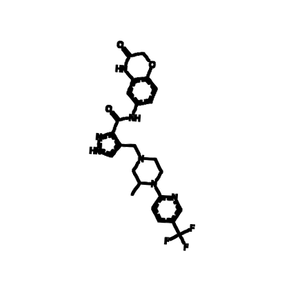 CC1CN(Cc2c[nH]nc2C(=O)Nc2ccc3c(c2)NC(=O)CO3)CCN1c1ccc(C(F)(F)F)cn1